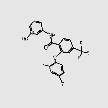 Cc1cc(F)ccc1Oc1cc(C(F)(F)F)ccc1C(=O)Nc1ccc[n+](O)c1